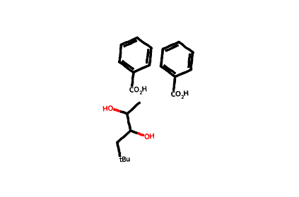 CC(O)C(O)CC(C)(C)C.O=C(O)c1ccccc1.O=C(O)c1ccccc1